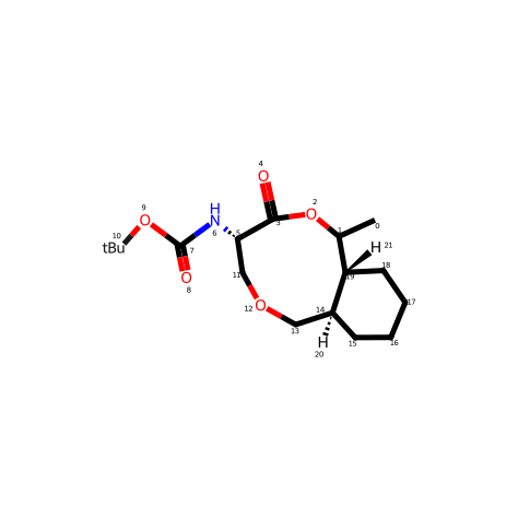 CC1OC(=O)[C@@H](NC(=O)OC(C)(C)C)COC[C@@H]2CCCC[C@@H]12